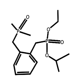 CCOP(=O)(Cc1ccccc1CP(C)(C)=O)OC(C)C